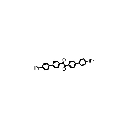 CC(C)c1ccc(-c2ccc(C(=O)C(=O)c3ccc(-c4ccc(C(C)C)cc4)cc3)cc2)cc1